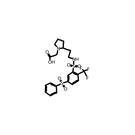 O=C(O)CN1CCCC1CCNS(=O)(=O)c1cc(S(=O)(=O)c2ccccc2)ccc1C(F)(F)F